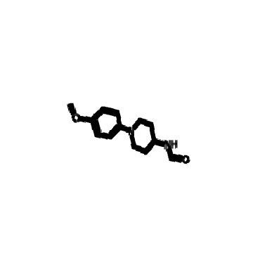 COc1ccc(N2CCC(NC=O)CC2)cc1